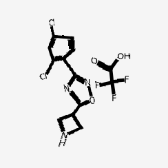 Clc1ccc(-c2noc(C3CNC3)n2)c(Cl)c1.O=C(O)C(F)(F)F